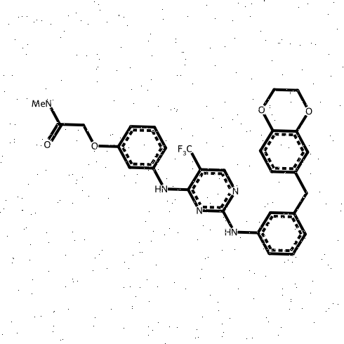 CNC(=O)COc1cccc(Nc2nc(Nc3cccc(Cc4ccc5c(c4)OCCO5)c3)ncc2C(F)(F)F)c1